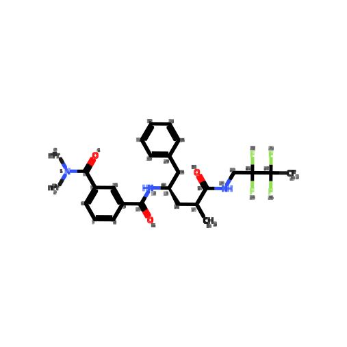 CCCN(CCC)C(=O)c1cccc(C(=O)N[C@H]([CH]C(C)C(=O)NCC(F)(F)C(F)(F)C(F)(F)F)Cc2ccccc2)c1